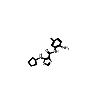 Cc1ccc(N)c(NC(=O)c2ncsc2NC2CCCC2)c1